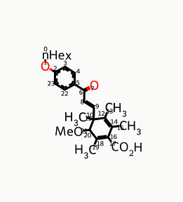 CCCCCCOc1ccc(C(=O)C=CC2(C)C(C)=C(C)C(C(=O)O)=C(C)C2OC)cc1